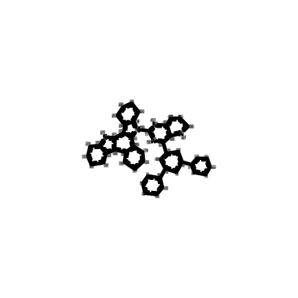 c1ccc(-c2cc(-c3ccccc3)cc(-c3nc(-n4c5ccccc5c5c6sc7ccccc7c6c6ccccc6c54)nc4cccnc34)c2)cc1